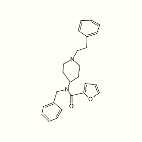 O=C(c1ccco1)N(Cc1ccccc1)C1CCN(CCc2ccccc2)CC1